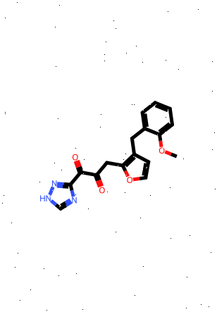 COc1ccccc1Cc1ccoc1CC(=O)C(=O)c1nc[nH]n1